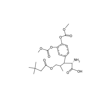 COC(=O)Oc1ccc(C(C(C)COC(=O)CC(C)(C)C)[C@H](N)C(=O)O)cc1OC(=O)OC